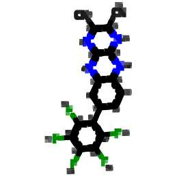 [C-]#[N+]c1nc2nc3cc(-c4c(F)c(F)c(F)c(F)c4F)ccc3nc2nc1C#N